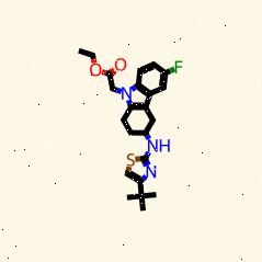 CCOC(=O)Cn1c2c(c3cc(F)ccc31)CC(Nc1nc(C(C)(C)C)cs1)CC2